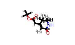 [2H]C1=C(CC(=O)OC(C)(C)C)C([2H])([2H])C([2H])([2H])NC1=O